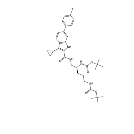 CC(C)(C)OC(=O)NCCC[C@@H](CNC(=O)c1[nH]c2cc(-c3ccc(F)cc3)ccc2c1C1CC1)NC(=O)OC(C)(C)C